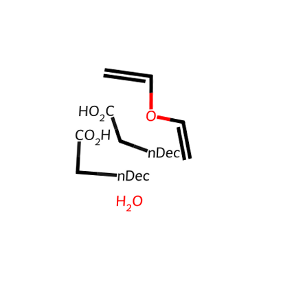 C=COC=C.CCCCCCCCCCCC(=O)O.CCCCCCCCCCCC(=O)O.O